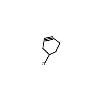 ClC1CC#CCC1